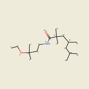 CCOC(C)(C)CCNC(=O)C(C)(C)CC(C)CC(C)C